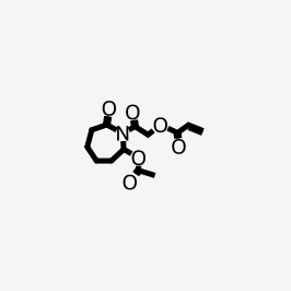 C=CC(=O)OCC(=O)N1C(=O)CCCCC1OC(C)=O